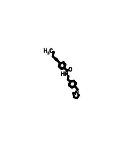 CCCC#Cc1ccc(C(=O)NCCc2ccc(CN3CCCC3)cc2)cc1